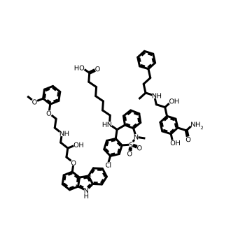 CC(CCc1ccccc1)NCC(O)c1ccc(O)c(C(N)=O)c1.CN1c2ccccc2C(NCCCCCCC(=O)O)c2ccc(Cl)cc2S1(=O)=O.COc1ccccc1OCCNCC(O)COc1cccc2[nH]c3ccccc3c12